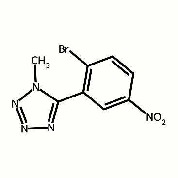 Cn1nnnc1-c1cc([N+](=O)[O-])ccc1Br